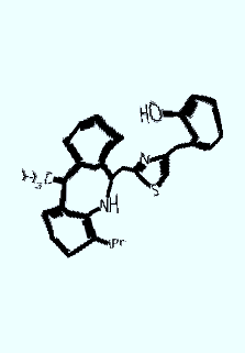 CC(C)c1cccc2c1NC(c1nc(-c3ccccc3O)cs1)c1ccccc1C2C